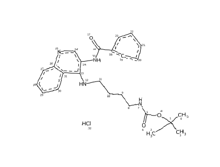 CC(C)(C)OC(=O)NCCCCNc1c(NC(=O)c2ccccc2)cnc2ccccc12.Cl